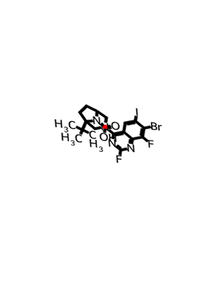 CC(C)(C)C12CCC(CN(c3nc(F)nc4c(F)c(Br)c(I)cc34)C1)N2C(=O)O